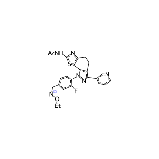 CCO/N=C\c1ccc(-n2nc(-c3cccnc3)c3c2-c2sc(NC(C)=O)nc2CC3)c(F)c1